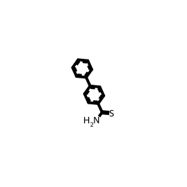 NC(=S)c1ccc(-c2ccccc2)cc1